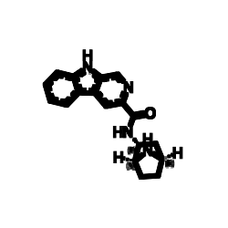 O=C(N[C@@H]1C[C@H]2CC[C@@H]1N2)c1cc2c(cn1)[nH]c1ccccc12